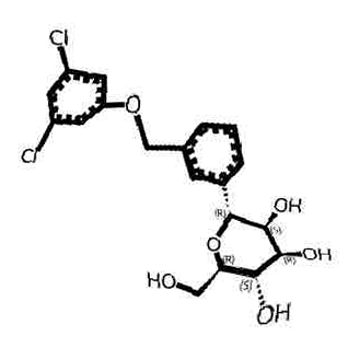 OC[C@H]1O[C@H](c2cccc(COc3cc(Cl)cc(Cl)c3)c2)[C@@H](O)[C@@H](O)[C@@H]1O